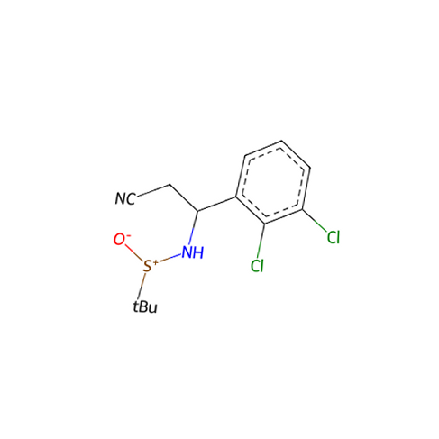 CC(C)(C)[S+]([O-])NC(CC#N)c1cccc(Cl)c1Cl